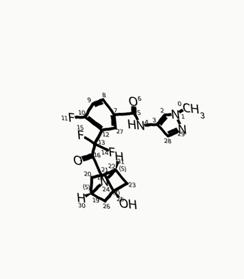 Cn1cc(NC(=O)c2ccc(F)c(C(F)(F)C(=O)N3[C@H]4CC5[C@@H]3C[C@]5(O)C4)c2)cn1